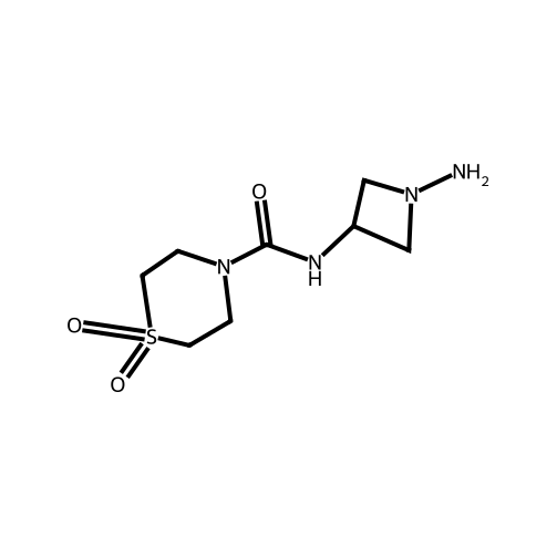 NN1CC(NC(=O)N2CCS(=O)(=O)CC2)C1